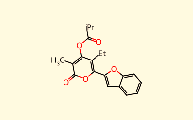 CCc1c(-c2cc3ccccc3o2)oc(=O)c(C)c1OC(=O)C(C)C